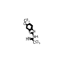 N=C(Nc1nc2ccc(OC(F)(F)F)cc2s1)C(Cl)(Cl)Cl